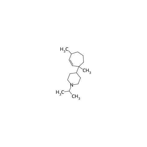 CC1C=CC(C)(C2CCN(C(C)C)CC2)CCC1